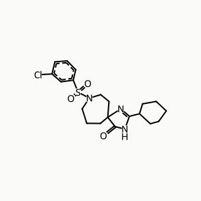 O=C1NC(C2CCCCC2)=NC12CCCN(S(=O)(=O)c1cccc(Cl)c1)CC2